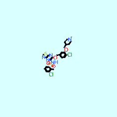 Cc1c(Cl)cccc1S(=O)(=O)Nc1nc2ncsc2nc1OCc1ccc(Cl)c(OCC2CCN(C)CC2)c1